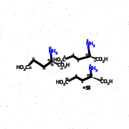 N[C@@H](CCC(=O)O)C(=O)O.N[C@@H](CCC(=O)O)C(=O)O.N[C@@H](CCC(=O)O)C(=O)O.[Si]